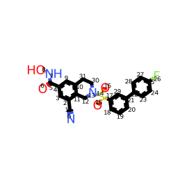 N#Cc1cc(C(=O)NO)cc2c1CN(S(=O)(=O)c1cccc(-c3ccc(F)cc3)c1)CC2